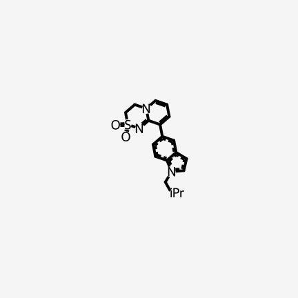 CC(C)Cn1ccc2cc(C3=CC=CN4CCS(=O)(=O)N=C34)ccc21